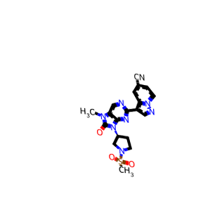 Cn1c(=O)n([C@H]2CCN(S(C)(=O)=O)C2)c2nc(-c3cnn4ccc(C#N)cc34)ncc21